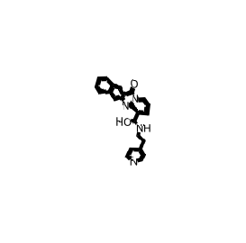 O=c1c2cc3ccccc3cc2nc2c(C(O)NCCc3ccncc3)cccn12